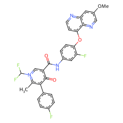 COc1cnc2c(Oc3ccc(NC(=O)c4cn(C(F)F)c(C)c(-c5ccc(F)cc5)c4=O)cc3F)ccnc2c1